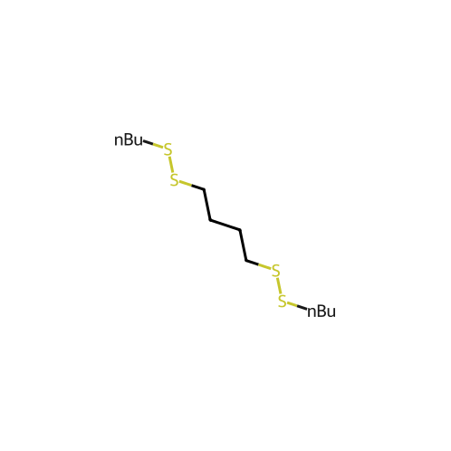 CCCCSSCCCCSSCCCC